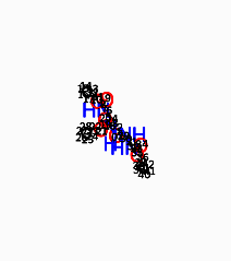 O=C(C[C@@H](CCCNC(=O)OCc1ccccc1)NC(=O)OCc1ccccc1)NCCNC(=O)OCc1ccccc1